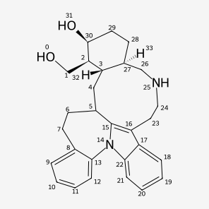 OC[C@@H]1[C@H]2CC3CCc4ccccc4-n4c3c(c3ccccc34)CCNC[C@@H]2CC[C@@H]1O